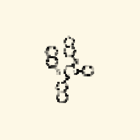 c1ccc(OC(CC(Sc2ccc3ccccc3c2)Sc2ccc3ccccc3c2)=Nc2ccc3c(c2)CCC3)cc1